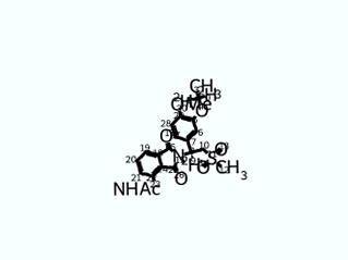 [2H]C([2H])(C)Oc1cc([C@@]([2H])(CS(C)(=O)=O)N2C(=O)c3cccc(NC(C)=O)c3C2=O)ccc1OC